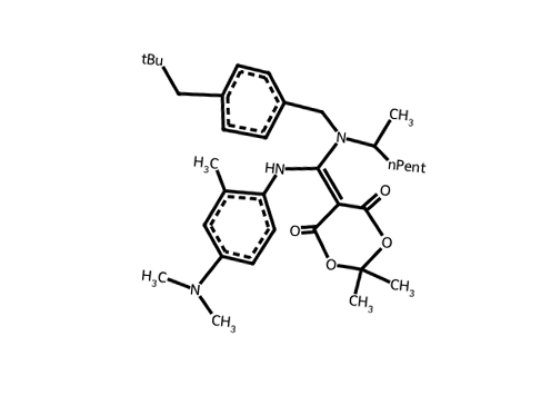 CCCCCC(C)N(Cc1ccc(CC(C)(C)C)cc1)C(Nc1ccc(N(C)C)cc1C)=C1C(=O)OC(C)(C)OC1=O